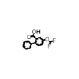 O=C(O)c1cc(OC(F)F)ccc1-c1ccccc1